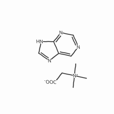 C[N+](C)(C)CC(=O)[O-].c1ncc2nc[nH]c2n1